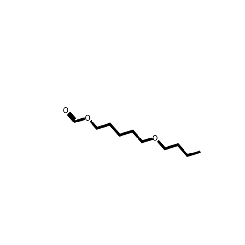 CCCCOCCCCCOC=O